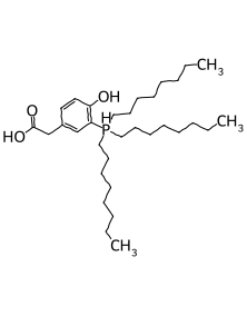 CCCCCCCC[PH](CCCCCCCC)(CCCCCCCC)c1cc(CC(=O)O)ccc1O